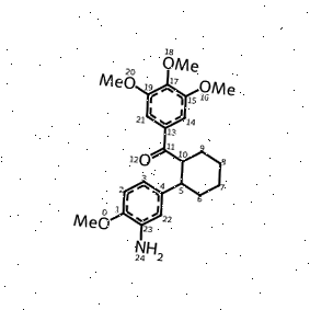 COc1ccc(C2CCCCC2C(=O)c2cc(OC)c(OC)c(OC)c2)cc1N